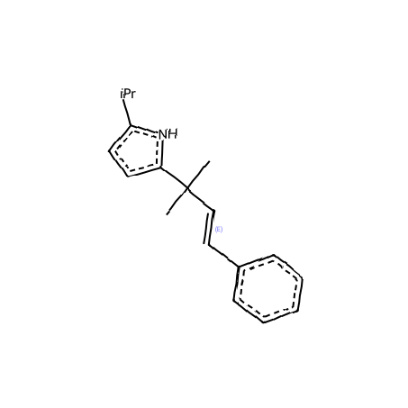 CC(C)c1ccc(C(C)(C)/C=C/c2ccccc2)[nH]1